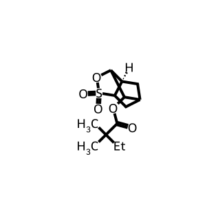 CCC(C)(C)C(=O)OC1C2CC3[C@H](C2)C1OS3(=O)=O